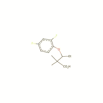 CCC(Oc1ccc(F)cc1F)C(C)(C)C(=O)O